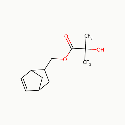 O=C(OCC1CC2C=CC1C2)C(O)(C(F)(F)F)C(F)(F)F